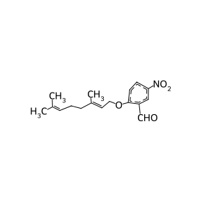 CC(C)=CCC/C(C)=C/COc1ccc([N+](=O)[O-])cc1C=O